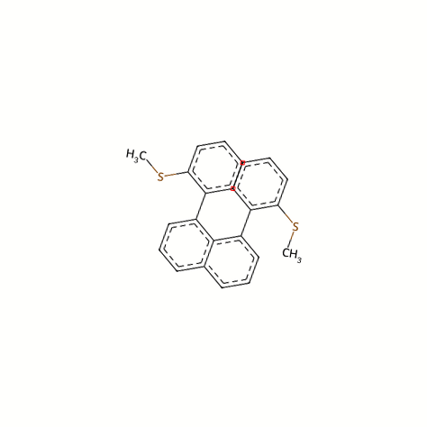 CSc1ccccc1-c1cccc2cccc(-c3ccccc3SC)c12